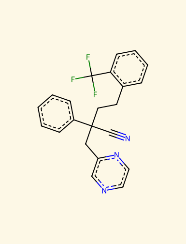 N#CC(CCc1ccccc1C(F)(F)F)(Cc1cnccn1)c1ccccc1